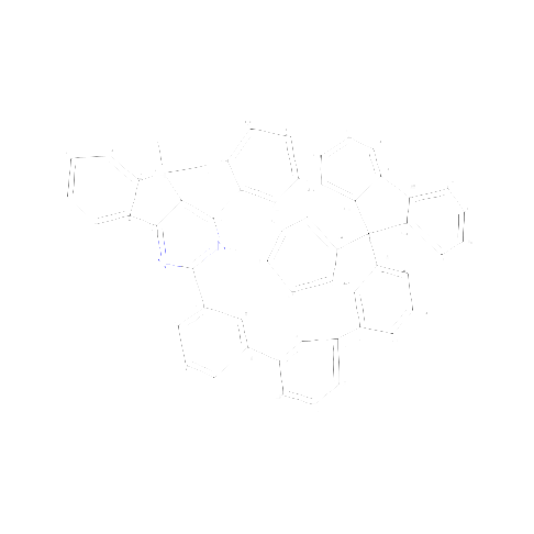 C[Si]1(C)c2ccccc2-c2nc(-c3cccc(-c4cccc(-c5cccc(C6(c7ccccc7)c7ccccc7-c7ccccc76)c5)c4)c3)nc(-c3ccccc3)c21